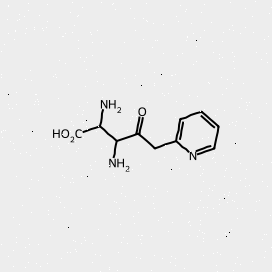 NC(C(=O)O)C(N)C(=O)Cc1ccccn1